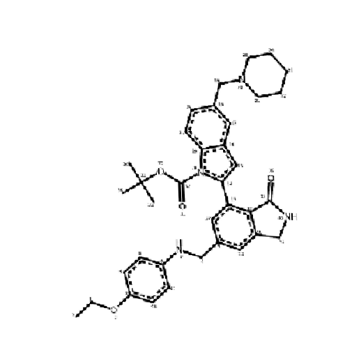 CCOc1ccc(NCc2cc3c(c(-c4cc5cc(CN6CCCCC6)ccc5n4C(=O)OC(C)(C)C)c2)C(=O)NC3)cc1